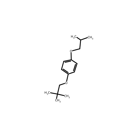 CC(C)COc1ccc(OCC(C)(C)C)cc1